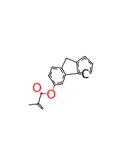 C=C(C)C(=O)Oc1ccc2c(c1)-c1ccccc1C2